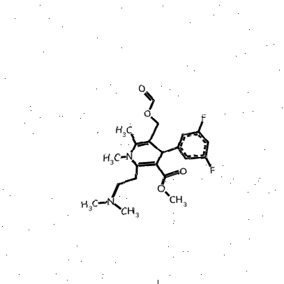 COC(=O)C1=C(CCN(C)C)N(C)C(C)=C(COC=O)C1c1cc(F)cc(F)c1